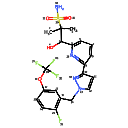 CC(C)(C(O)c1cccc(-c2ccn(Cc3cc(OC(F)(F)F)ccc3F)n2)n1)S(N)(=O)=O